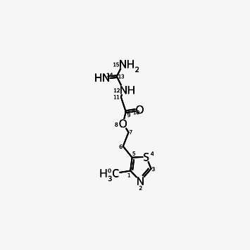 Cc1ncsc1CCOC(=O)CNC(=N)N